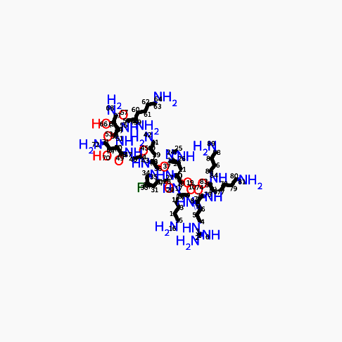 N=C(N)NCC/C=C(\NC(=O)[C@H](CCCCN)NC(=O)[C@H](Cc1cnc[nH]1)NC(=O)[C@@H]1C[C@@H](F)CN1C(=O)[C@@H](CCCN)NC(=O)CNC(=O)[C@@H](NC(=O)[C@@H](NC(=O)[C@@H](N)CCCCN)[C@@H](O)CN)[C@@H](O)CN)C(=O)N[C@@H](CCCCN)C(=O)NCCCCN